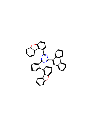 C1=CC2Oc3cccc(-c4nc(-c5ccccc5-c5cccc6oc7ccccc7c56)nc(-c5cc6ccccc6c6ccccc56)n4)c3C2C=C1